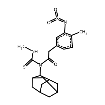 CNC(=S)N(C(=O)Cc1ccc(C)c(N=S(=O)=O)c1)C1C2CC3CC(C2)CC1C3